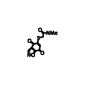 CNC(=O)CSC1=CC(=O)c2oncc2C1=O